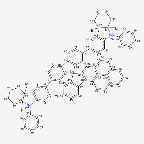 Cc1cc2c(cc1-c1ccc3c(c1)C1(c4cc(-c5cc6c(cc5C)N(c5ccccc5)C5(C)CCCCC65C)ccc4-3)c3ccccc3-c3c1cc1ccc4cccc5ccc3c1c45)C1(C)CCCCC1(C)N2c1ccccc1